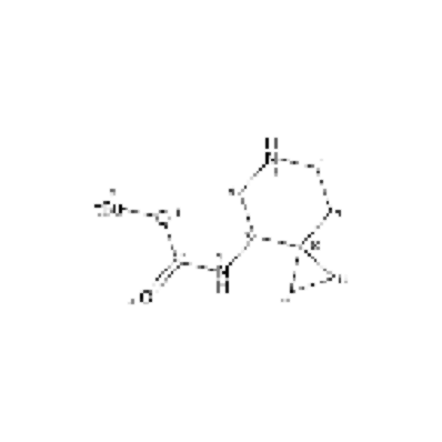 CC(C)(C)OC(=O)NC1CNCCC12CC2